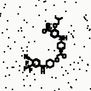 CC(C)COc1cc(NC2CCN(C(=O)CO[C@H]3CC[C@H](Nc4ccc(C#N)c(C(F)(F)F)c4)CC3)CC2)ccc1[N+](=O)[O-]